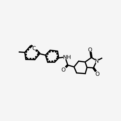 Cc1ccc(-c2ccc(NC(=O)C3CCC4C(=O)N(C)C(=O)C4C3)cc2)cc1